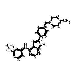 COc1cc(Nc2ncnc3[nH]c(-c4ccc(CN5CCN(C)CC5)cc4)cc23)ccn1